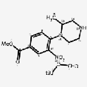 CC(C)(C)OC=O.COC(=O)c1ccc(N2CCNCC2C)c([N+](=O)[O-])c1